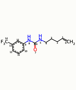 C=CCCCNC(=O)Nc1cccc(C(F)(F)F)c1